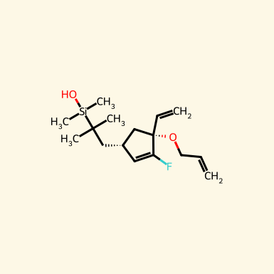 C=CCO[C@@]1(C=C)C[C@@H](CC(C)(C)[Si](C)(C)O)C=C1F